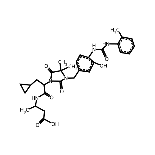 Cc1ccccc1NC(=O)Nc1ccc(CN2C(=O)N(C(CC3CC3)C(=O)NC(C)CC(=O)O)C(=O)C2(C)C)cc1O